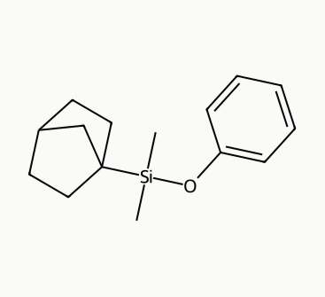 C[Si](C)(Oc1ccccc1)C12CCC(CC1)C2